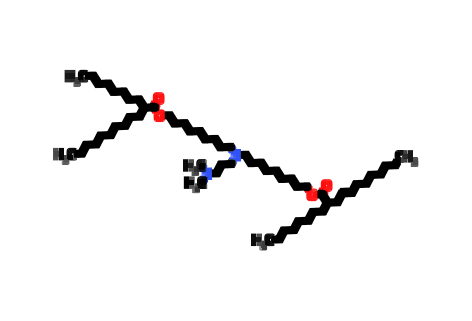 CCCCCCC/C=C/CC(CCCCCCCC)C(=O)OCCCCCCCCCN(CCCCCCCCCOC(=O)C(CCCCCCCC)CCCCCCCCCC)CCCN(C)C